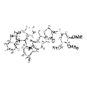 COc1cc(CN2CCC(CCN3CCC(Nc4nc5ccccc5n4Cc4ccc(F)cc4)CC3)(Cc3ccc(F)cc3)C2=O)cc(OC)c1OC